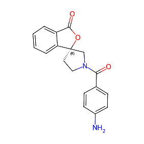 Nc1ccc(C(=O)N2CC[C@@]3(C2)OC(=O)c2ccccc23)cc1